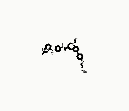 CCCCOCCOc1ccc(-c2ccc3c(c2)C=C(C(=O)Nc2ccc([S+]([O-])c4cccc5nc(C)cn45)cc2)CCN3CC(C)C)cc1